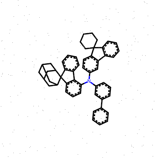 c1ccc(-c2cccc(N(c3ccc4c(c3)-c3ccccc3C43CCCCC3)c3cccc4c3-c3ccccc3C43C4CC5CC(C4)CC3C5)c2)cc1